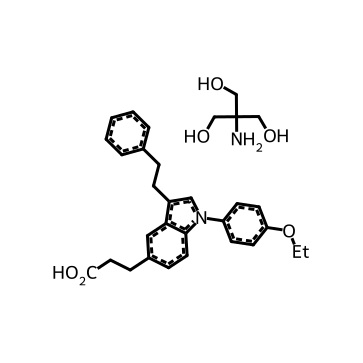 CCOc1ccc(-n2cc(CCc3ccccc3)c3cc(CCC(=O)O)ccc32)cc1.NC(CO)(CO)CO